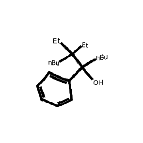 CCCCC(CC)(CC)C(O)(CCCC)c1ccccc1